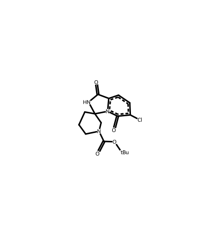 CC(C)(C)OC(=O)N1CCCC2(C1)NC(=O)c1ccc(Cl)c(=O)n12